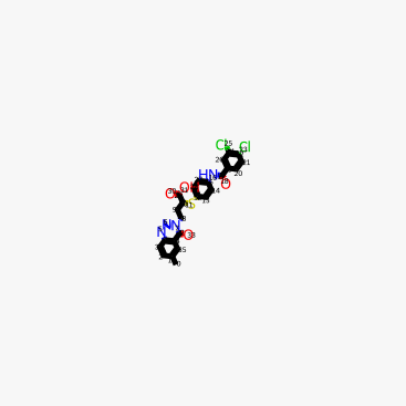 Cc1ccc2nnn(CCC(Sc3ccc(NC(=O)c4ccc(Cl)c(Cl)c4)cc3)C(=O)O)c(=O)c2c1